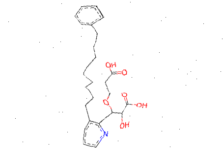 O=C(O)CCOC(c1ncccc1CCCCCCCCc1ccccc1)C(O)C(=O)O